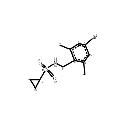 Cc1cc(Br)cc(C)c1CNS(=O)(=O)C1CC1